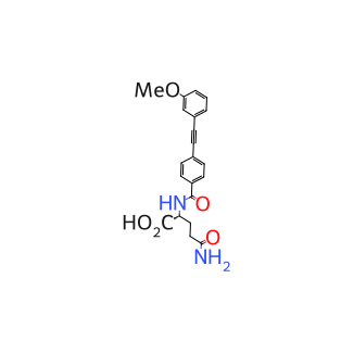 COc1cccc(C#Cc2ccc(C(=O)N[C@@H](CCC(N)=O)C(=O)O)cc2)c1